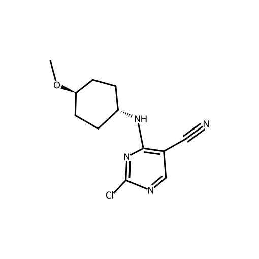 CO[C@H]1CC[C@H](Nc2nc(Cl)ncc2C#N)CC1